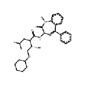 CC(C)C[C@@H](C(=O)NC1N=C(c2ccccc2)c2ccccc2N(C)C1=O)[C@H](O)COC1CCCCC1